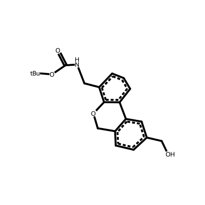 CC(C)(C)OC(=O)NCc1cccc2c1OCc1ccc(CO)cc1-2